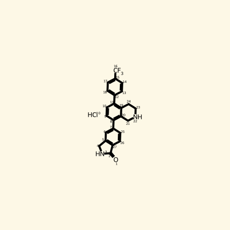 Cl.O=C1NCc2cc(-c3ccc(-c4ccc(C(F)(F)F)cc4)c4c3CNCC4)ccc21